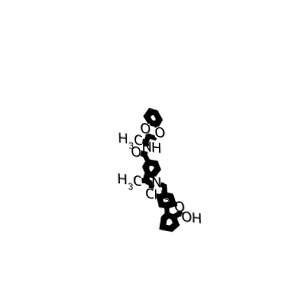 Cc1c(C)n(Cc2ccc(-c3ccccc3C(=O)O)cc2)c2ccc(C(=O)NC(C)C3COc4ccccc4O3)cc12